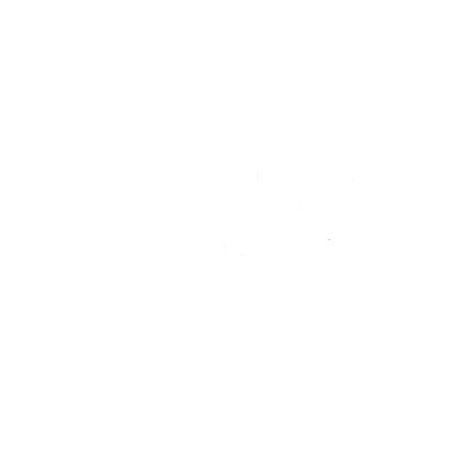 O=C([O-])c1ccc(Cl)c(Cl)c1Cl.O=C([O-])c1ccc(Cl)c(Cl)c1Cl.[Cu+2]